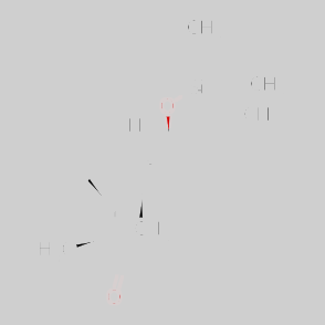 CC[Si](CC)(CC)O[C@H]1CCC[C@]2(C)[C@@H]([C@H](C)C=O)CC[C@@H]12